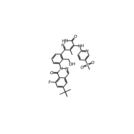 Cc1c(-c2cccc(-n3ncc4cc(C(C)(C)C)cc(F)c4c3=O)c2CO)n[nH]c(=O)c1Nc1ccc(S(C)(=O)=O)cn1